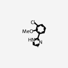 COc1c(Cl)cccc1-c1n[c]c[nH]1